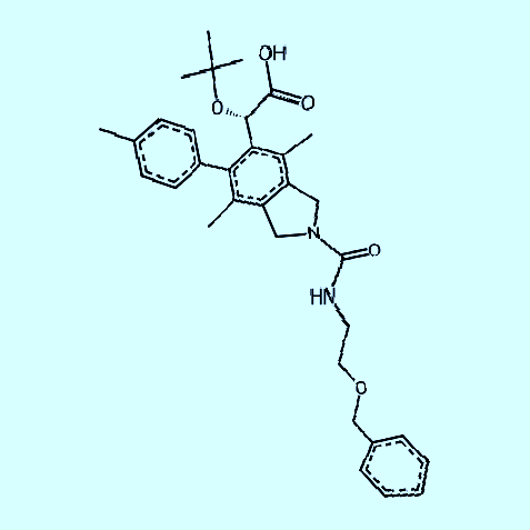 Cc1ccc(-c2c(C)c3c(c(C)c2[C@H](OC(C)(C)C)C(=O)O)CN(C(=O)NCCOCc2ccccc2)C3)cc1